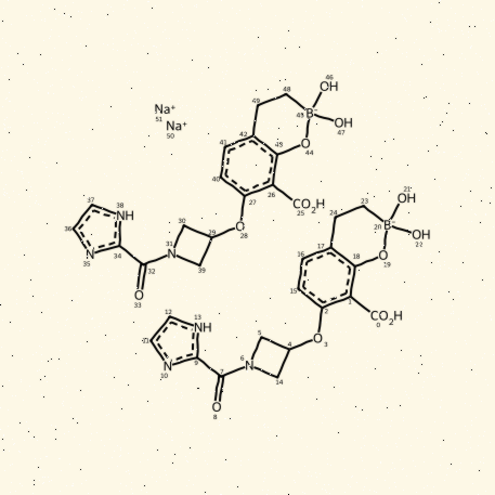 O=C(O)c1c(OC2CN(C(=O)c3ncc[nH]3)C2)ccc2c1O[B-](O)(O)CC2.O=C(O)c1c(OC2CN(C(=O)c3ncc[nH]3)C2)ccc2c1O[B-](O)(O)CC2.[Na+].[Na+]